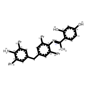 C/C(=N\c1c(C(C)C)cc(Cc2cc(C(C)C)c(N)c(C(C)C)c2)cc1C(C)C)c1ccc(O)cc1O